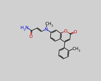 Cc1ccccc1-c1cc(=O)oc2cc(N(C)C=CC(N)=O)ccc12